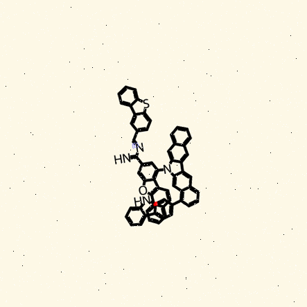 N=C(/N=C/c1ccc2sc3ccccc3c2c1)c1cc(-n2c3cc4ccccc4cc3c3cc4cccc(-c5ccc6c(c5)[nH]c5ccccc56)c4cc32)c2c(c1)oc1c3ccccc3ccc12